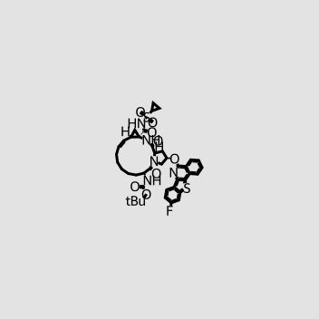 CC(C)(C)OC(=O)N[C@H]1CCCCC/C=C\[C@@H]2C[C@@]2(C(=O)NS(=O)(=O)C2CC2)NC(=O)[C@@H]2C[C@@H](Oc3nc4c5ccc(F)cc5sc4c4ccccc34)CN2C1=O